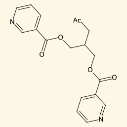 CC(=O)CC(COC(=O)c1cccnc1)COC(=O)c1cccnc1